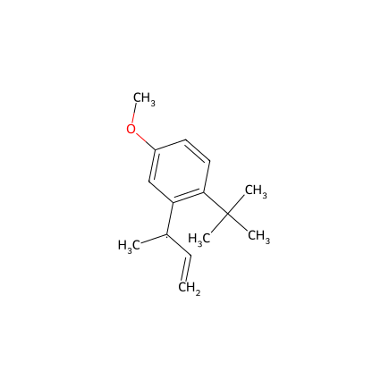 C=C[C](C)c1cc(OC)ccc1C(C)(C)C